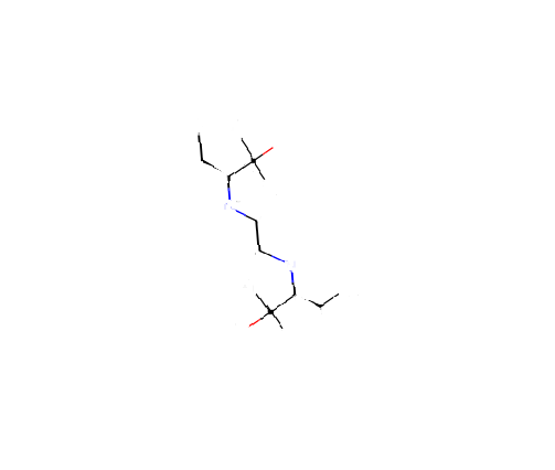 [2H]C([2H])(O)[C@H](CC)NCCN[C@@H](CC)C([2H])([2H])O